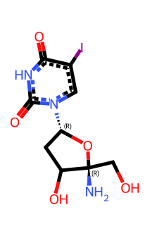 N[C@]1(CO)O[C@@H](n2cc(I)c(=O)[nH]c2=O)CC1O